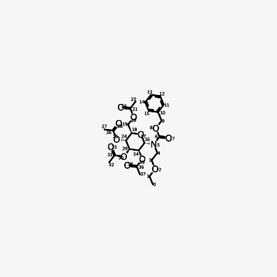 CCOCCN(C(=O)OCc1ccccc1)[C@H]1O[C@H](COC(C)=O)[C@@H](OC(C)=O)[C@H](OC(C)=O)[C@@H]1OC(C)=O